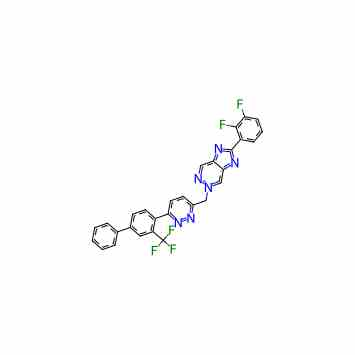 Fc1cccc(-c2nc3cnn(Cc4ccc(-c5ccc(-c6ccccc6)cc5C(F)(F)F)nn4)cc-3n2)c1F